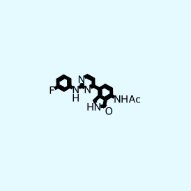 CC(=O)Nc1ccc(-c2ccnc(Nc3cccc(F)c3)n2)c2c1C(=O)NC2